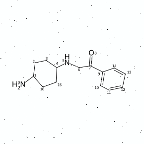 NC1CCC(NCC(=O)c2ccccc2)CC1